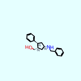 OC[C@H]1C[C@@H](NCc2ccccc2)C[C@@H]1c1ccccc1